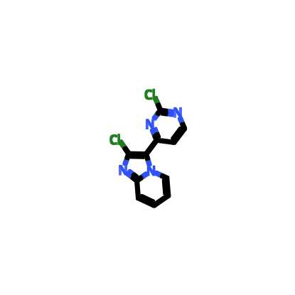 Clc1nccc(-c2c(Cl)nc3ccccn23)n1